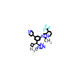 C=C1N2C=CC=C(C(F)(F)F)C2=CN1c1cc(-c2ccncc2)cc(C(c2nncn2C)C2CCC2)c1